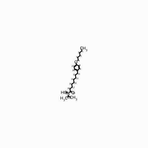 CCCCCCOc1ccc(CCCCCCCCC(=O)N(O)C(C)C)cc1